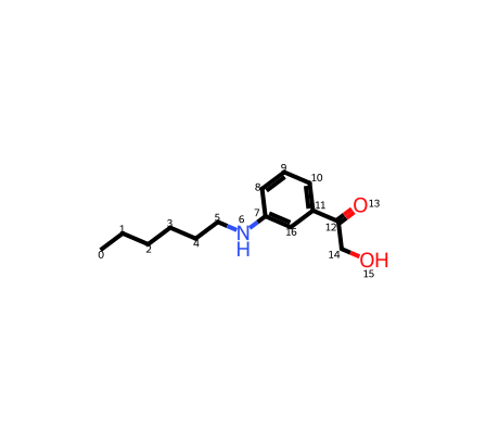 CCCCCCNc1cccc(C(=O)CO)c1